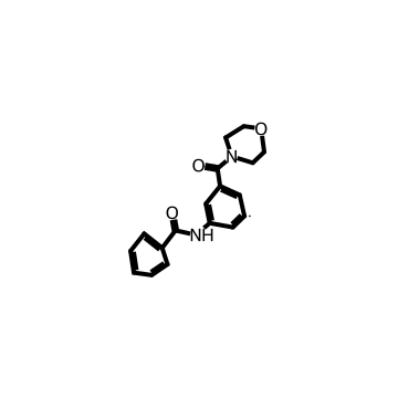 O=C(Nc1c[c]cc(C(=O)N2CCOCC2)c1)c1ccccc1